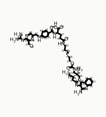 CCCCc1nc2c(N)nc3ccccc3c2n1CC(C)(C)CNC(=O)OCCSSCCNC(=O)CCC(NC(=O)c1ccc(NCc2cnc(N=C(N)N)c(C=O)n2)cc1)C(=O)O